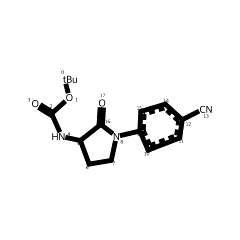 CC(C)(C)OC(=O)NC1CCN(c2ccc(C#N)cc2)C1=O